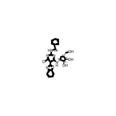 C[C@@H](Nc1nc(Cl)c(-c2nc3ccccc3s2)c(N[C@@H]2C[C@H](CO)[C@@H](O)[C@H]2O)n1)c1ccccc1